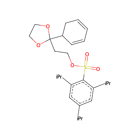 CC(C)c1cc(C(C)C)c(S(=O)(=O)OCCC2(C3C=CC=CC3)OCCO2)c(C(C)C)c1